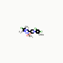 COc1cc(N2CCC(C(Cn3nc(C(F)(F)F)c(Cl)c3C)NS(C)(=O)=O)CC2)c(Cl)cc1Cl